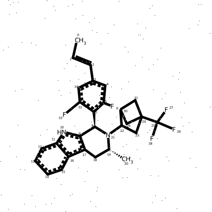 C/C=C/c1cc(F)c([C@@H]2c3[nH]c4ccccc4c3C[C@@H](C)N2C2CC3(C(F)(F)F)CC2C3)c(F)c1